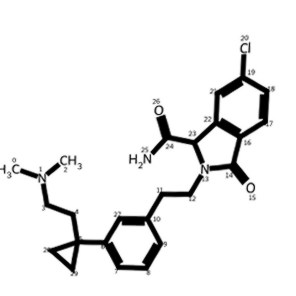 CN(C)CCC1(c2cccc(CCN3C(=O)c4[c]cc(Cl)cc4C3C(N)=O)c2)CC1